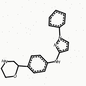 c1ccc(-n2ccc(Nc3ccc(C4CNCCO4)cc3)n2)cc1